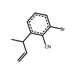 [CH2]C(C=C)c1cccc(Br)c1C#N